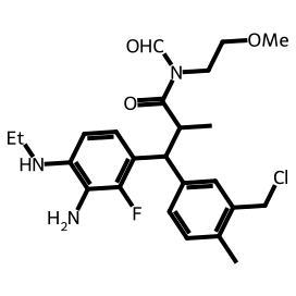 CCNc1ccc(C(c2ccc(C)c(CCl)c2)C(C)C(=O)N(C=O)CCOC)c(F)c1N